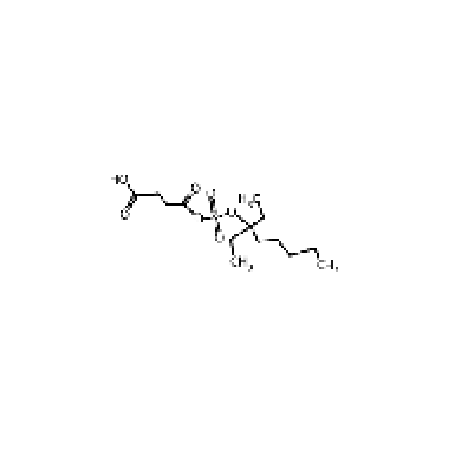 CCCCCC(CC)(CC)OS(=O)(=O)OC(=O)CCC(=O)O